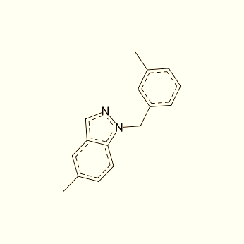 Cc1cccc(Cn2ncc3cc(C)ccc32)c1